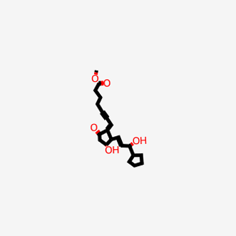 COC(=O)CCCC#CC=C1C(=O)CC(O)C1C=CC(O)C1CCCC1